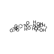 CC(C)(CO)[C@@H](O)C(=O)NCCC(=O)C(=O)NCc1ccc(S(=O)(=O)N2CCOCC2)cc1